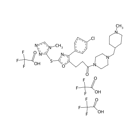 CN1CCC(CN2CCN(C(=O)CCc3oc(Sc4nncn4C)nc3-c3ccc(Cl)cc3)CC2)CC1.O=C(O)C(F)(F)F.O=C(O)C(F)(F)F.O=C(O)C(F)(F)F